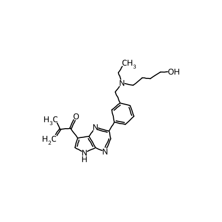 C=C(C)C(=O)c1c[nH]c2ncc(-c3cccc(CN(CC)CCCCO)c3)nc12